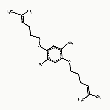 CC(C)=CCCCOc1cc(C(C)(C)C)c(OCCCC=C(C)C)cc1C(C)C